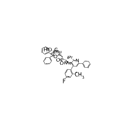 COP(=O)(C=Cc1c(-c2ccc(F)cc2C)cc(-c2ccccc2)nc1C(C)C)C[C@H](CC(=O)O)O[Si](c1ccccc1)(c1ccccc1)C(C)(C)C